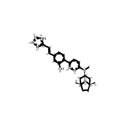 CN(c1ccc(-c2ccc(/C=C/c3nnn[nH]3)cc2O)nn1)[C@H]1C[C@]2(C)CC[C@](C)(C1)N2